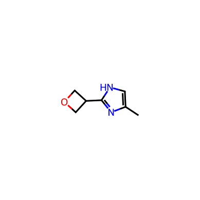 Cc1c[nH]c(C2COC2)n1